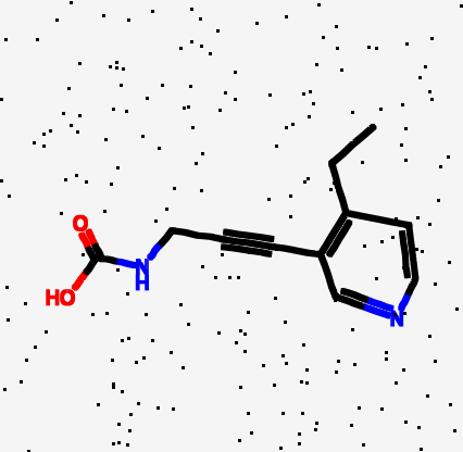 CCc1ccncc1C#CCNC(=O)O